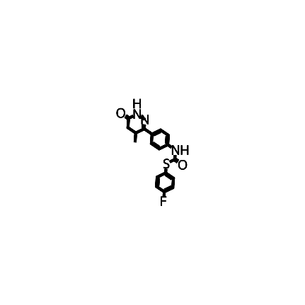 CC1CC(=O)NN=C1c1ccc(NC(=O)Sc2ccc(F)cc2)cc1